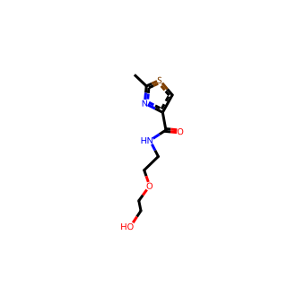 Cc1nc(C(=O)NCCOCCO)cs1